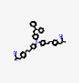 C/C(C#N)=C/c1ccc(/C=C/c2ccc(N(c3ccc(C=C(c4ccccc4)c4ccccc4)cc3)c3ccc(/C=C/c4ccc(/C=C(/C)C#N)cc4)cc3)cc2)cc1